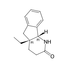 CC[C@]12CCC(=O)N[C@H]1c1ccccc1C2